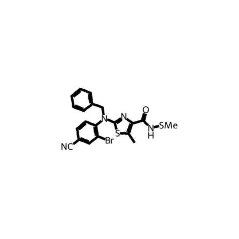 CSNC(=O)c1nc(N(Cc2ccccc2)c2ccc(C#N)cc2Br)sc1C